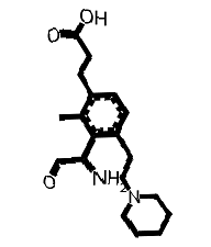 Cc1c(CCC(=O)O)ccc(CCN2CCCCC2)c1C(N)C=O